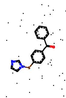 O=C(c1ccccc1)c1ccc(Sn2ccnc2)cc1